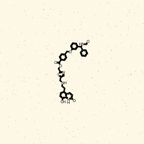 O=CNC(c1ccccc1)c1cccc(OCc2ccc(C(=O)OCc3ncc(CNCCc4ccc(O)c5[nH]c(=O)ccc45)s3)cc2)c1